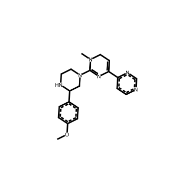 COc1ccc(C2CN(C3=NC(c4ccncn4)=CCN3C)CCN2)cc1